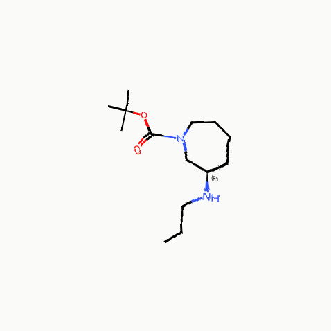 CCCN[C@@H]1CCCCN(C(=O)OC(C)(C)C)C1